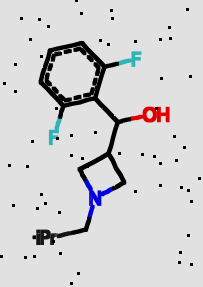 C[C](C)CN1CC(C(O)c2c(F)cccc2F)C1